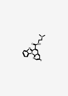 CN(C)CCNC(=O)c1cc2cc(F)cnc2n2c1nc1ccccc12